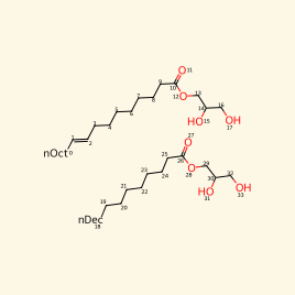 CCCCCCCCC=CCCCCCCCC(=O)OCC(O)CO.CCCCCCCCCCCCCCCCCC(=O)OCC(O)CO